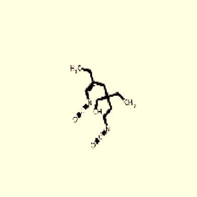 CCC(=CN=C=O)CC(CC)(CC)CCN=C=O